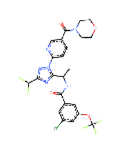 CC(NC(=O)c1cc(Cl)cc(OC(F)(F)F)c1)c1nc(C(F)F)nn1-c1ccc(C(=O)N2CCOCC2)cn1